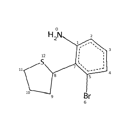 Nc1cccc(Br)c1C1CCCS1